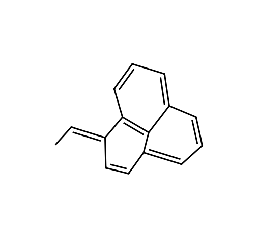 CC=c1ccc2cccc3cccc1c32